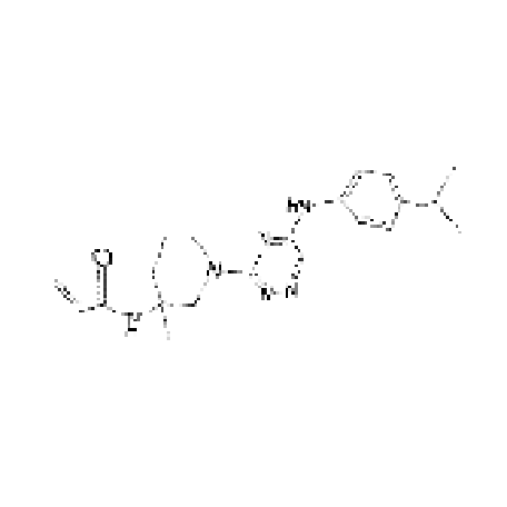 C=CC(=O)NC1(C)CCCN(c2nncc(Nc3ccc(C(C)C)cc3)n2)C1